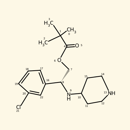 CC(C)(C)C(=O)OC[C@H](NC1CCNCC1)c1cccc(Cl)c1